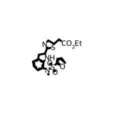 CCOC(=O)CC1CN=C(C2Cc3cccc(N(C)S(=O)(=O)c4ccco4)c3N2)S1